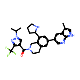 Cc1c[nH]c2ncc(-c3cc4c(c(C5CCCN5)c3)CN(C(=O)c3cn(C(C)C)nc3C(F)(F)F)CC4)cc12